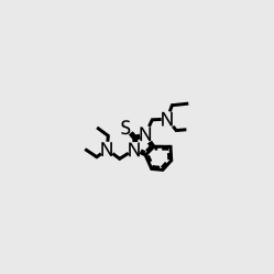 CCN(CC)Cn1c(=S)n(CN(CC)CC)c2ccccc21